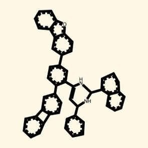 C1=C(c2cc(-c3ccc4oc5ccccc5c4c3)ccc2-c2ccc3c(c2)-c2ccccc2-3)NC(c2cccc3ccccc23)NC1c1ccccc1